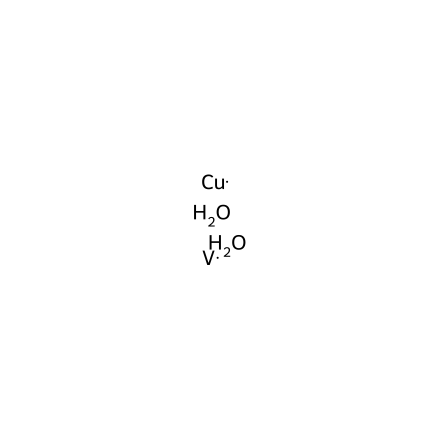 O.O.[Cu].[V]